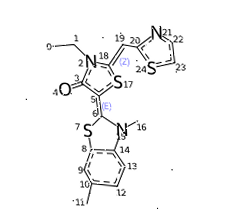 CCn1c(=O)/c(=C2\Sc3cc(C)ccc3N2C)s/c1=C\c1nccs1